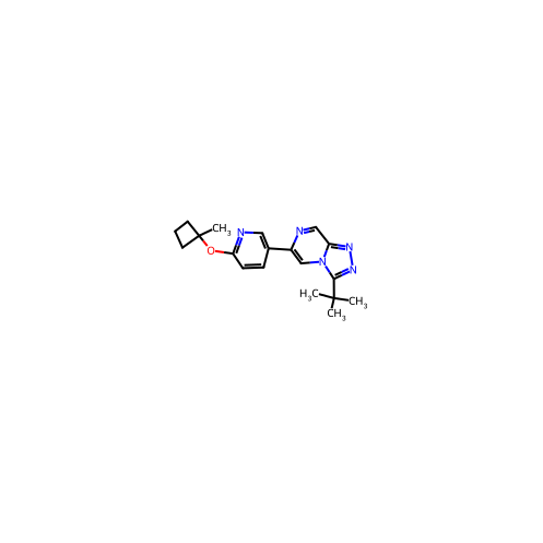 CC1(Oc2ccc(-c3cn4c(C(C)(C)C)nnc4cn3)cn2)CCC1